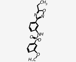 CCc1nc(-c2cccc(NS(=O)(=O)c3cccc(OC)c3)c2)no1